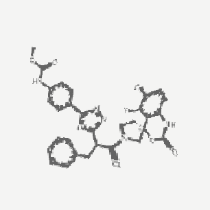 COC(=O)Nc1ccc(-c2nnc(C(Cc3ccccc3)C(=O)N3CC[C@@]4(C3)OC(=O)Nc3ccc(Cl)c(F)c34)o2)cc1